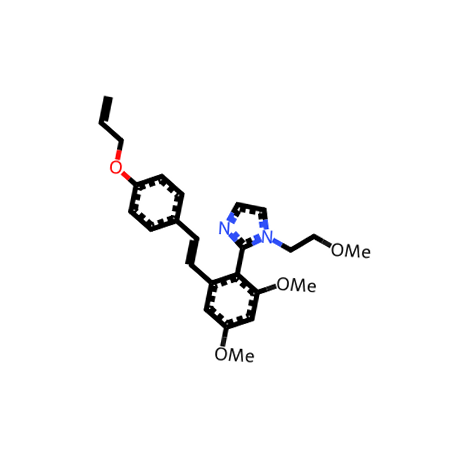 C=CCOc1ccc(C=Cc2cc(OC)cc(OC)c2-c2nccn2CCOC)cc1